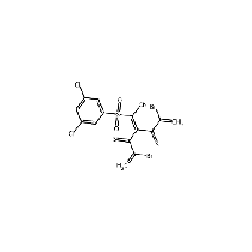 C=C(Br)C(=S)C(C(=S)C(=C)Br)=C(C#N)S(=O)(=O)c1cc(Cl)cc(Cl)c1